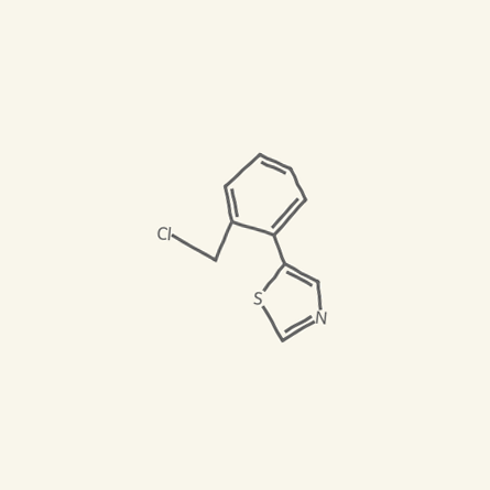 ClCc1ccccc1-c1cncs1